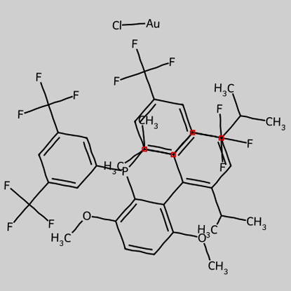 COc1ccc(OC)c(P(c2cc(C(F)(F)F)cc(C(F)(F)F)c2)c2cc(C(F)(F)F)cc(C(F)(F)F)c2)c1-c1c(C(C)C)cc(C(C)C)cc1C(C)C.[Cl][Au]